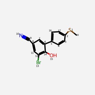 CSc1ccc(-c2cc(C#N)cc(Br)c2O)cc1